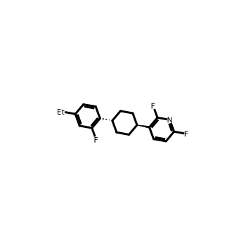 CCc1ccc([C@H]2CC[C@H](c3ccc(F)nc3F)CC2)c(F)c1